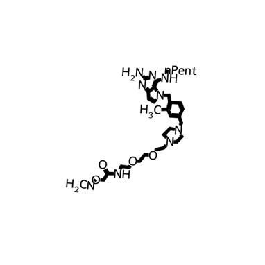 C=NOCC(=O)NCCOCCOCCN1CCN(Cc2ccc(Cn3ccc4nc(N)nc(NCCCCC)c43)c(C)c2)CC1